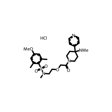 CNC1(c2ccncc2)CCN(C(=O)COCCN(C)S(=O)(=O)c2c(C)cc(OC)cc2C)CC1.Cl